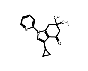 CC1(C)CC(=O)c2c(C3CC3)cn(-c3ccccn3)c2C1